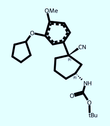 COc1ccc([C@@]2(C#N)CCC[C@@H](NC(=O)OC(C)(C)C)C2)cc1OC1CCCC1